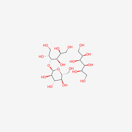 OC[C@@H](O)[C@@H](O[C@H]1O[C@H](CO)[C@@H](O)[C@H](O)[C@H]1O)[C@H](O)[C@@H](O)CO.OC[C@@H](O)[C@H](O)[C@@H](O)[C@H](O)CO